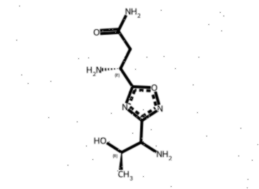 C[C@@H](O)C(N)c1noc([C@H](N)CC(N)=O)n1